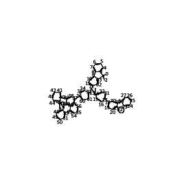 CC1(C)c2ccccc2-c2ccc(N(c3ccc(-c4ccc5oc6ccccc6c5c4)cc3)c3ccc(-c4cc5c6ccccc6n6c7ccccc7c7cccc4c7c56)cc3)cc21